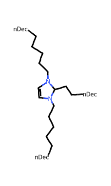 CCCCCCCCCCCCCCCN1C=CN(CCCCCCCCCCCCCCC)C1CCCCCCCCCCCC